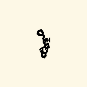 C1=C(CNCCc2ccccc2)C2=COc3ccccc3CN2C1